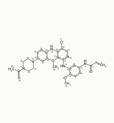 C=CC(=O)Nc1ccc(OC)c(Nc2ncc(Cl)c(Nc3ccc(N4CCN(C(C)=O)CC4)cc3OC)n2)c1